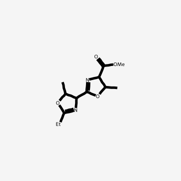 CCC1=NC(C2=NC(C(=O)OC)C(C)O2)C(C)O1